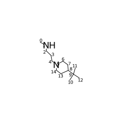 CNCCCN1CCC(C(C)(C)C)CC1